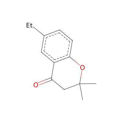 CCc1ccc2c(c1)C(=O)CC(C)(C)O2